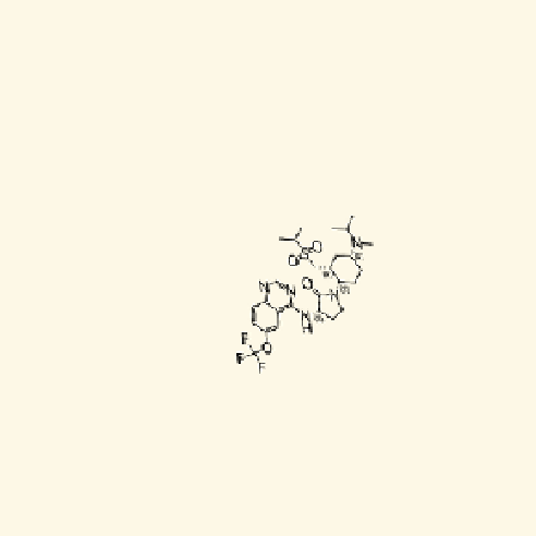 CC(C)N(C)[C@@H]1CC[C@H](N2CC[C@H](Nc3ncnc4ccc(OC(F)(F)F)cc34)C2=O)[C@H](CS(=O)(=O)C(C)C)C1